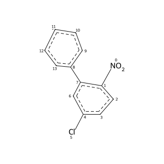 O=[N+]([O-])c1ccc(Cl)cc1-c1cc[c]cc1